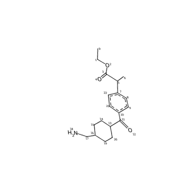 CCOC(=O)C(C)c1ccc(C(=O)C2CCC(CN)CC2)cc1